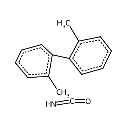 Cc1ccccc1-c1ccccc1C.N=C=O